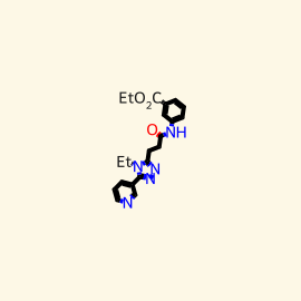 CCOC(=O)c1cccc(NC(=O)CCc2nnc(-c3cccnc3)n2CC)c1